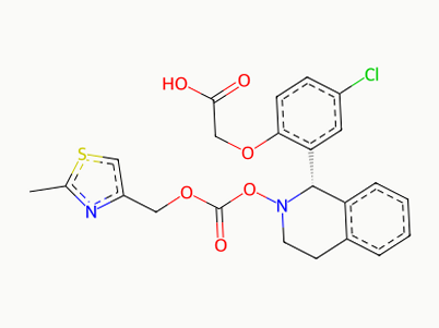 Cc1nc(COC(=O)ON2CCc3ccccc3[C@H]2c2cc(Cl)ccc2OCC(=O)O)cs1